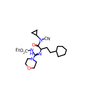 CCOC(=O)NC(=NC(CCC1CCCCC1)C(=O)N(C#N)C1CC1)N1CCOCC1